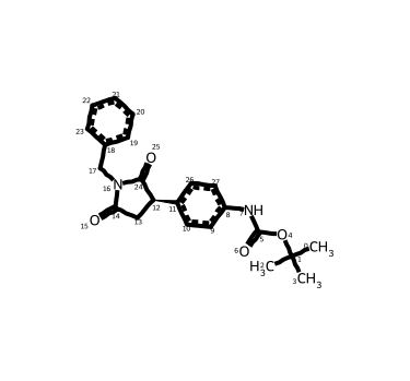 CC(C)(C)OC(=O)Nc1ccc([C@H]2CC(=O)N(Cc3ccccc3)C2=O)cc1